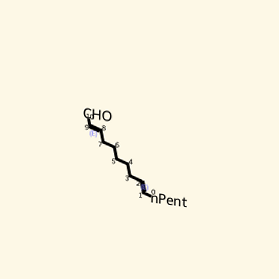 CCCCC/C=C/CCCCC/C=C/C=O